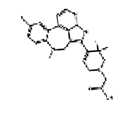 CN1Cc2c(C3=CCN(CC(=O)O)CC3(C)C)[nH]c3nccc(c23)-c2cc(F)ccc21